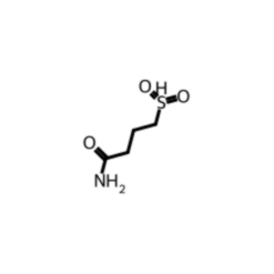 NC(=O)CCC[SH](=O)=O